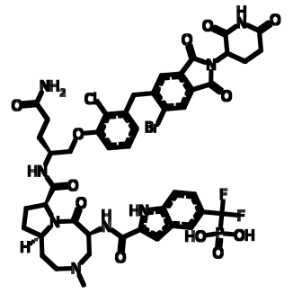 CN1CC[C@H]2CC[C@@H](C(=O)N[C@@H](CCC(N)=O)COc3cccc(Cc4cc5c(cc4Br)C(=O)N(C4CCC(=O)NC4=O)C5=O)c3Cl)N2C(=O)[C@@H](NC(=O)c2cc3cc(C(F)(F)P(=O)(O)O)ccc3[nH]2)C1